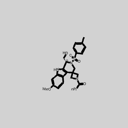 CCCC(=O)N1CC2(C1)CN(S(=O)(=O)c1ccc(C)cc1)[C@@H](CO)c1[nH]c3cc(OC)ccc3c12